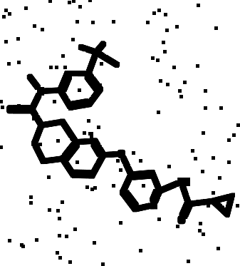 CN(C(=O)C1CCc2ccc(Oc3ccnc(NC(=O)C4CC4)c3)cc2C1)c1cccc(C(C)(C)C)c1